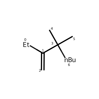 [CH2]CC(=C)C(C)(C)CCCC